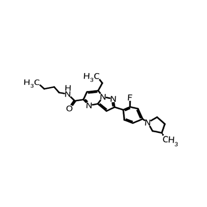 CCCCNC(=O)c1cc(CC)n2nc(-c3ccc(N4CC[C@@H](C)C4)cc3F)cc2n1